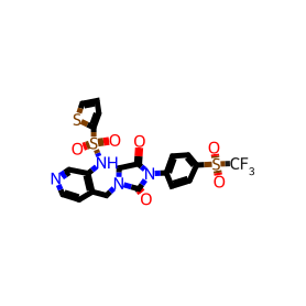 O=C1CN(Cc2ccncc2NS(=O)(=O)c2cccs2)C(=O)N1c1ccc(S(=O)(=O)C(F)(F)F)cc1